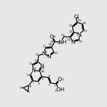 O=C(O)C=Cc1cc(C2CC2)cn2cc(Cn3cc(C(=O)NCc4ncn5ccc(Cl)cc45)cn3)nc12